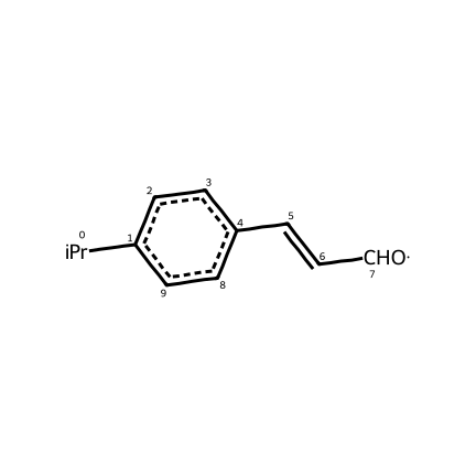 CC(C)c1ccc(/C=C/[C]=O)cc1